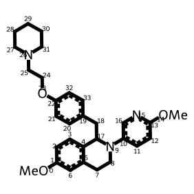 COc1ccc2c(c1)CCN(c1ccc(OC)nc1)C2Cc1ccc(OCCN2CCCCC2)cc1